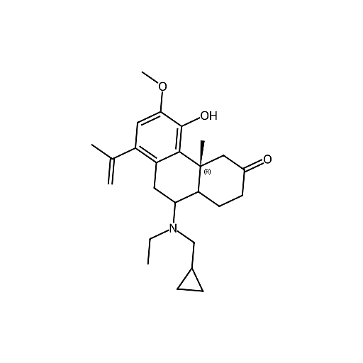 C=C(C)c1cc(OC)c(O)c2c1CC(N(CC)CC1CC1)C1CCC(=O)C[C@@]21C